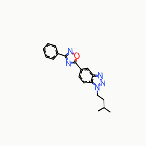 CC(C)CCn1nnc2cc(-c3nc(-c4ccccc4)no3)ccc21